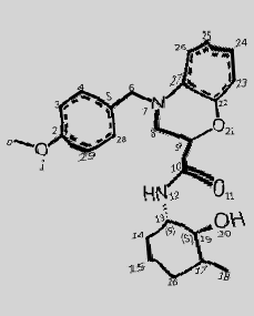 COc1ccc(CN2CC(C(=O)N[C@H]3CCCC(C)[C@@H]3O)Oc3ccccc32)cc1